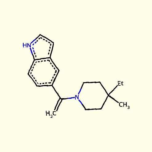 C=C(c1ccc2[nH]ccc2c1)N1CCC(C)(CC)CC1